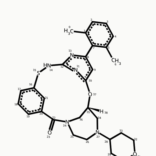 Cc1cccc(C)c1-c1cc2nc(n1)NSc1cccc(c1)C(=O)N1CCN(C3CCOCC3)C[C@H](C1)O2